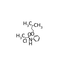 CC(C)CCOc1ccccc1NC(=O)C(C)Cl